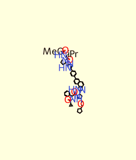 COC(=O)N[C@H](C(=O)N1CCC[C@H]1c1ncc(-c2ccc(-c3ccc4c(ccc5nc([C@@H]6C[C@H](COCC7CCCC7)CN6C(=O)[C@H](NC(=O)C6CC6)c6ccccc6)[nH]c54)c3)cc2)[nH]1)C(C)C